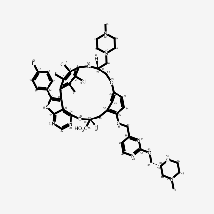 Cc1c(Cl)c2c(Cl)c(C)c1-c1c(-c3ccc(F)cc3)sc3ncnc(c13)O[C@@H](C(=O)O)Cc1cc(ccc1OCc1ccnc(OC[C@H]3CN(C)CCO3)n1)OC[C@@H](CN1CCN(C)CC1)O2